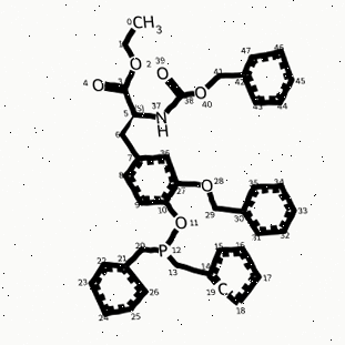 CCOC(=O)[C@H](Cc1ccc(OP(Cc2ccccc2)Cc2ccccc2)c(OCc2ccccc2)c1)NC(=O)OCc1ccccc1